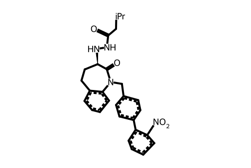 CC(C)CC(=O)NN[C@@H]1CCc2ccccc2N(Cc2ccc(-c3ccccc3[N+](=O)[O-])cc2)C1=O